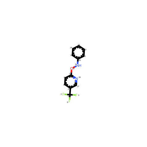 FC(F)(F)c1ccc(ONc2ccccc2)nc1